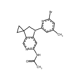 CC(=O)Nc1cc2c(cn1)C1(CC1)CN2c1cc(C)cc(Br)n1